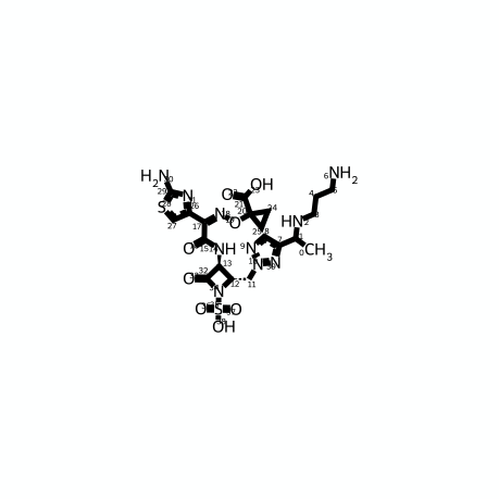 CC(NCCCN)c1cnn(C[C@H]2[C@H](NC(=O)C(=NOC3(C(=O)O)CC3)c3csc(N)n3)C(=O)N2S(=O)(=O)O)n1